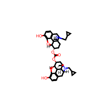 O=C(O[C@H]1CC[C@H]2C3Cc4ccc(O)c5c4[C@@]2(CCN3CC2CC2)[C@H]1O5)O[C@H]1CC[C@H]2[C@H]3Cc4ccc(O)c5c4[C@@]2(CCN3CC2CC2)[C@H]1O5